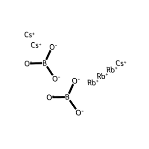 [Cs+].[Cs+].[Cs+].[O-]B([O-])[O-].[O-]B([O-])[O-].[Rb+].[Rb+].[Rb+]